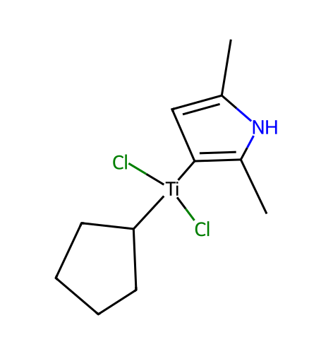 Cc1c[c]([Ti]([Cl])([Cl])[CH]2CCCC2)c(C)[nH]1